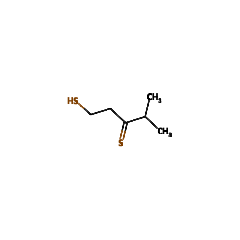 CC(C)C(=S)CCS